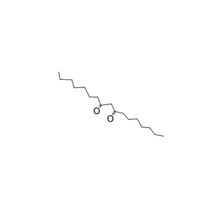 CCCCCCCC(=O)CC(=O)CCCCCCC